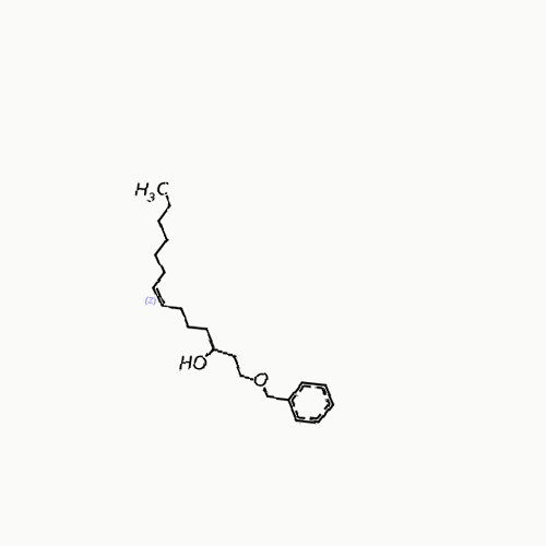 CCCCCC/C=C\CCCC(O)CCOCc1ccccc1